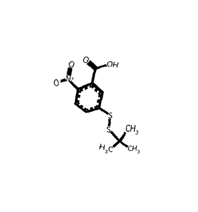 CC(C)(C)SSc1ccc([N+](=O)[O-])c(C(=O)O)c1